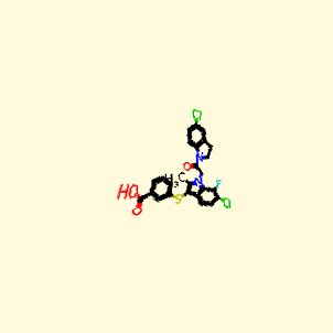 Cc1c(Sc2cccc(C(=O)O)c2)c2ccc(Cl)c(F)c2n1CC(=O)N1CCc2cc(Cl)ccc21